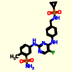 Cc1ccc(Nc2ncc(F)c(Nc3ccc(CNS(=O)(=O)C4CC4)cc3)n2)cc1S(N)(=O)=O